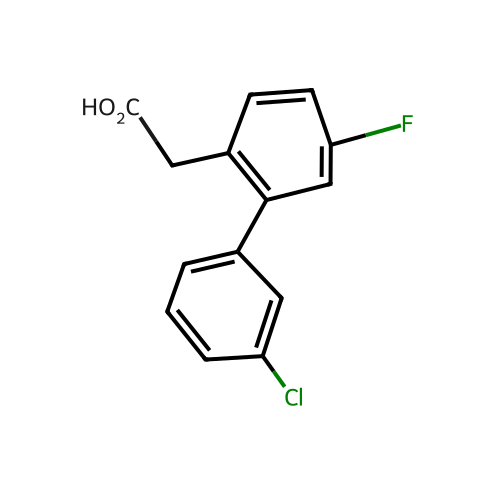 O=C(O)Cc1ccc(F)cc1-c1cccc(Cl)c1